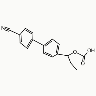 CCC(OC(=O)O)c1ccc(-c2ccc(C#N)cc2)cc1